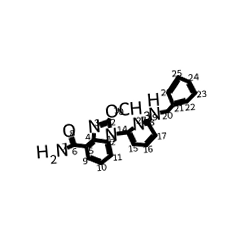 COc1nc2c(C(N)=O)cccc2n1-c1cccc(NCc2ccccc2)n1